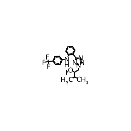 CC(C)C(Cn1nnc(-c2ccccc2Nc2ccc(C(F)(F)F)cc2)n1)OI